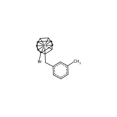 Cc1cccc(C[C]23[CH]4[CH]5[CH]6[CH]2[Fe]56432789[CH]3[CH]2[CH]7[C]8(Br)[CH]39)c1